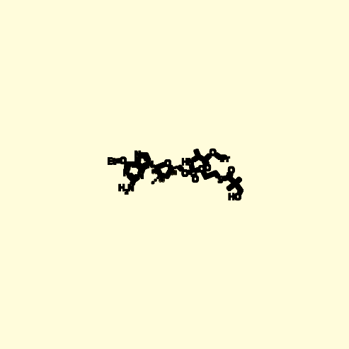 CCOc1nc(N)nc2c1ncn2[C@@H]1O[C@H](COP(=O)(NC(C)C(=O)OC(C)C)OCCSC(=O)C(C)(C)CO)C[C@@H]1C